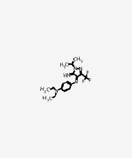 CCN(CC)c1ccc(N=C2C(=N)N(C(C)C)N=C2C(F)(F)F)cc1